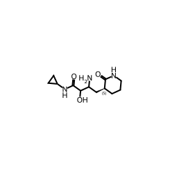 NC(C[C@@H]1CCCNC1=O)C(O)C(=O)NC1CC1